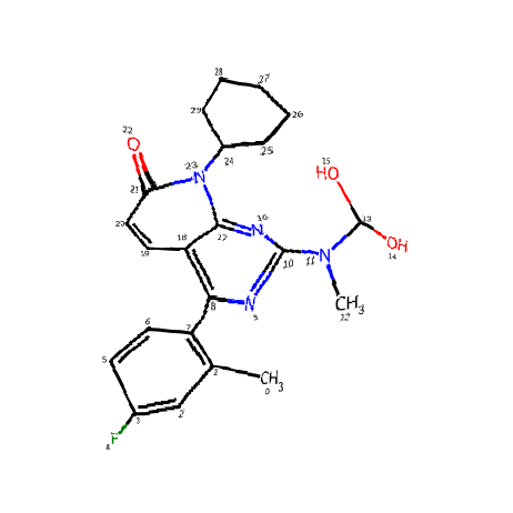 Cc1cc(F)ccc1-c1nc(N(C)C(O)O)nc2c1ccc(=O)n2C1CCCCC1